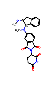 CN[C@@H]1Cc2ccccc2[C@H]1N(C)c1ccc2c(c1)C(=O)N(C1CCC(=O)NC1=O)C2=O